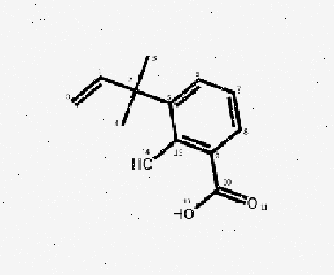 C=CC(C)(C)c1c[c]cc(C(=O)O)c1O